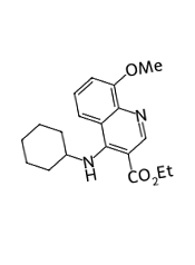 CCOC(=O)c1cnc2c(OC)cccc2c1NC1CCCCC1